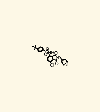 CC(C)(C)c1ccc(S(=O)(=O)Nc2ccc(Cl)c3c2C(=O)N(Cc2ccncc2)C3=O)cc1